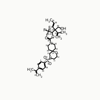 C=C(C)c1ccc(S(=O)(=O)N2CCOC3(CCN(C(=O)OC(C(F)(F)F)C(/C=C/C)(CO)C(=C)C)CC3)C2)cc1